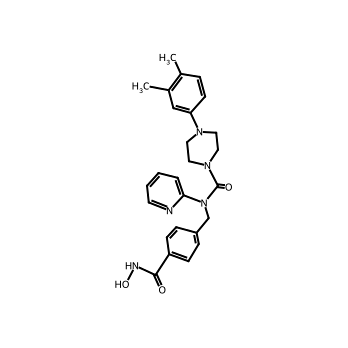 Cc1ccc(N2CCN(C(=O)N(Cc3ccc(C(=O)NO)cc3)c3ccccn3)CC2)cc1C